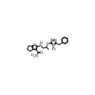 CCn1c(Cc2ccccc2)nnc1SC(C)CNc1sc2c(c1C(N)=O)CCC2